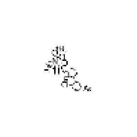 CC(=O)c1ccc(Cl)c(-c2cccc(NC(=O)[C@@H]3C[C@H]4CC4N3C(=O)OC(C)(C)C)c2F)c1